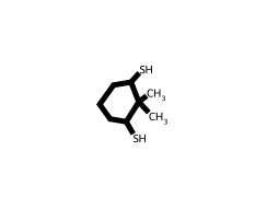 CC1(C)C(S)CCCC1S